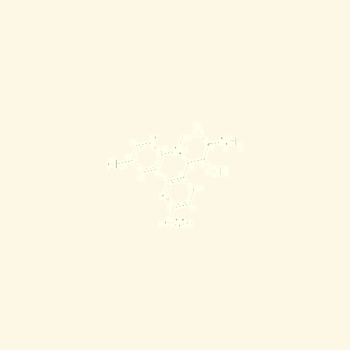 COc1ccc(C(C(O)C(N)=O)N(C)c2ccc(Cl)cc2)cc1